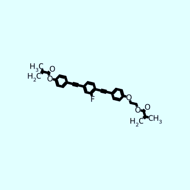 C=C(C)C(=O)OCCOc1ccc(C#Cc2ccc(C#Cc3ccc(OC(=O)C(=C)C)cc3)cc2F)cc1